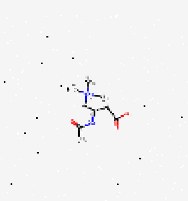 CC(=O)N[C@H](CC(=O)[O-])C[N+](C)(C)C